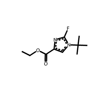 CCOC(=O)c1cn(C(C)(C)C)c(F)n1